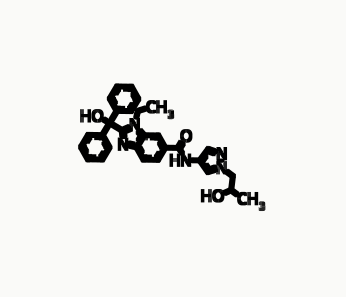 CCn1c(C(O)(c2ccccc2)c2ccccc2)nc2ccc(C(=O)Nc3cnn(CC(C)O)c3)cc21